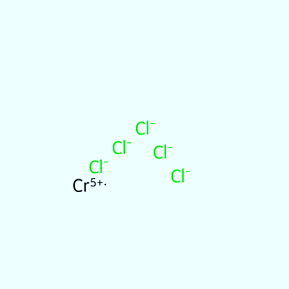 [Cl-].[Cl-].[Cl-].[Cl-].[Cl-].[Cr+5]